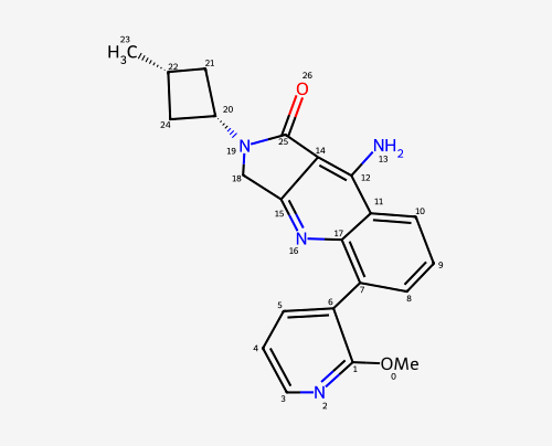 COc1ncccc1-c1cccc2c(N)c3c(nc12)CN([C@H]1C[C@@H](C)C1)C3=O